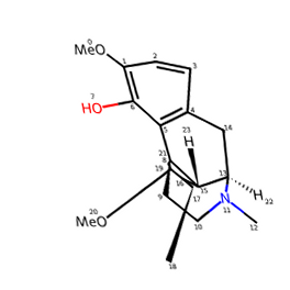 COc1ccc2c(c1O)[C@]13CCN(C)[C@H](C2)[C@@H]1C[C@@H](C)C(OC)C3